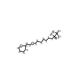 FC(F)(F)C(F)(F)CCCCCCCOCCC1CCCCO1